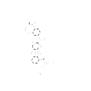 CN(CCC#N)C(=O)c1ccccc1Nc1nc(Nc2ccc3c(c2)CCCC(=O)N3C)ncc1Cl